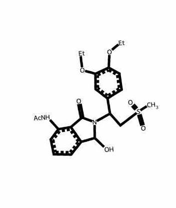 CCOc1ccc(C(CS(C)(=O)=O)N2C(=O)c3c(NC(C)=O)cccc3C2O)cc1OCC